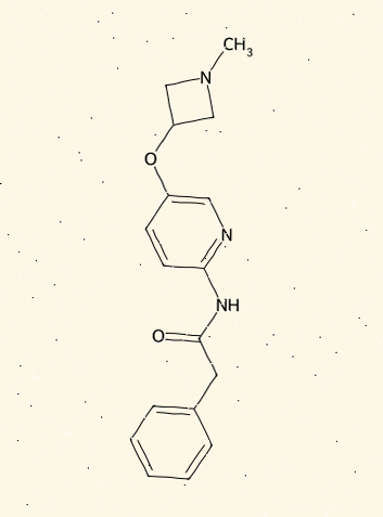 CN1CC(Oc2ccc(NC(=O)Cc3ccccc3)nc2)C1